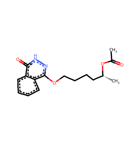 CC(=O)O[C@H](C)CCCCOc1n[nH]c(=O)c2ccccc12